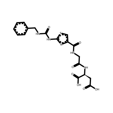 O=C(O)C[C@H](NC(=O)CNC(=O)c1csc(NC(=O)NCc2ccccc2)n1)C(=O)O